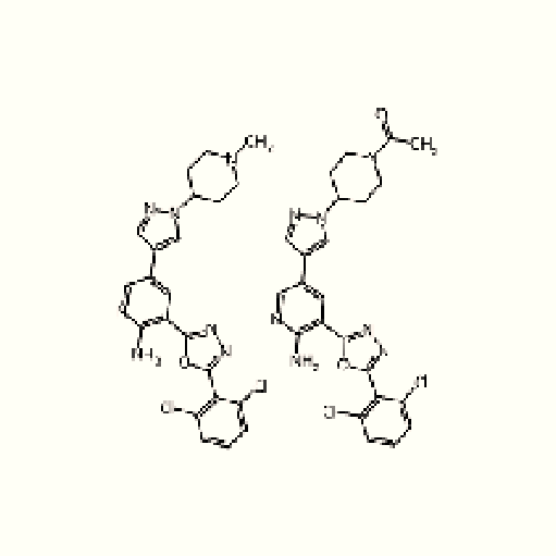 CC(=O)N1CCC(n2cc(-c3cnc(N)c(-c4nnc(-c5c(Cl)cccc5Cl)o4)c3)cn2)CC1.CN1CCC(n2cc(-c3cnc(N)c(-c4nnc(-c5c(Cl)cccc5Cl)o4)c3)cn2)CC1